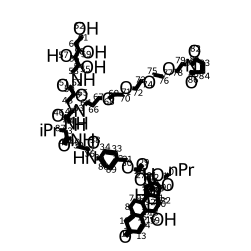 CCCC1O[C@@H]2C[C@H]3[C@@H]4CCC5=CC(=O)C=C[C@]5(C)C4[C@@H](O)C[C@]3(C)[C@]2(C(=O)COC(=O)OCc2ccc(NC(=O)CNC(=O)C(NC(=O)[C@@H](CCC(=O)NC[C@H](O)[C@@H](O)[C@H](O)CCO)NC(=O)CCOCCOCCOCCOCCN3C(=O)C=CC3=O)C(C)C)cc2)O1